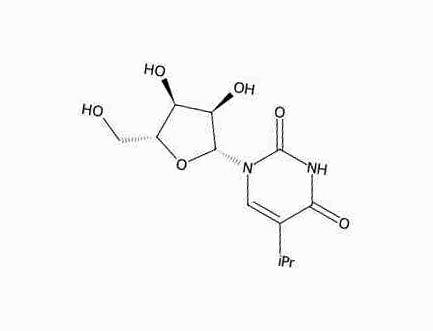 CC(C)c1cn([C@@H]2O[C@H](CO)[C@@H](O)[C@H]2O)c(=O)[nH]c1=O